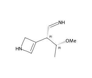 CO[C@H](C)[C@@H](C=N)C1=CNC1